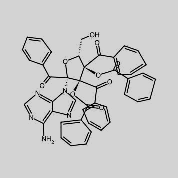 Nc1ncnc2c1ncn2[C@]1(C(=O)c2ccccc2)O[C@H](CO)[C@](OC(=O)c2ccccc2)(C(=O)c2ccccc2)[C@]1(OC(=O)c1ccccc1)C(=O)c1ccccc1